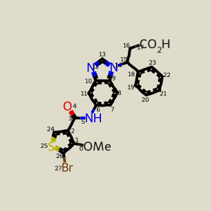 COc1c(C(=O)Nc2ccc3c(c2)ncn3C(CC(=O)O)c2ccccc2)csc1Br